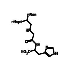 CCCCCCCCCC(CCCCCCC)CNCC(=O)NC(Cc1c[nH]cn1)C(=O)O